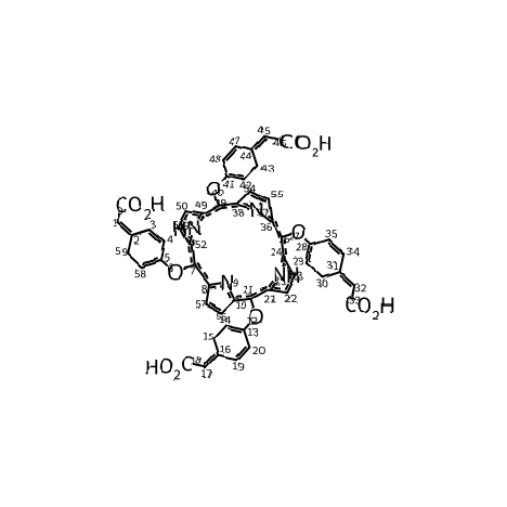 O=C(O)C=C1C=CC(Oc2c3nc(c(OC4=CCC(=CC(=O)O)C=C4)c4ccc([nH]4)c(OC4=CCC(=CC(=O)O)C=C4)c4nc(c(OC5=CCC(=CC(=O)O)C=C5)c5ccc2[nH]5)C=C4)C=C3)=CC1